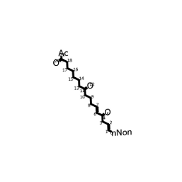 CCCCCCCCC/C=C/CC(=O)/C=C/CCCC(=O)CCCCCCC(=O)C(C)=O